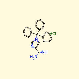 Cl.N=C(N)c1cn(C(c2ccccc2)(c2ccccc2)c2ccccc2)cn1